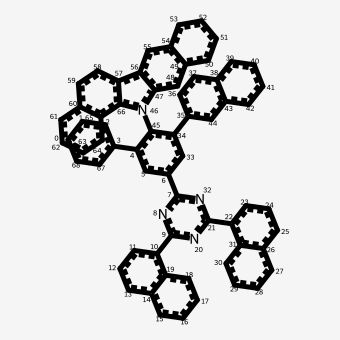 c1ccc(-c2cc(-c3nc(-c4cccc5ccccc45)nc(-c4cccc5ccccc45)n3)cc(-c3ccc4ccccc4c3)c2-n2c3cc4ccccc4cc3c3ccc4ccccc4c32)cc1